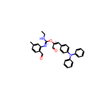 CCN/C(=N\c1cc(C)ccc1C=O)O/C(C=O)=C/c1ccc(N(c2ccccc2)c2ccccc2)cc1